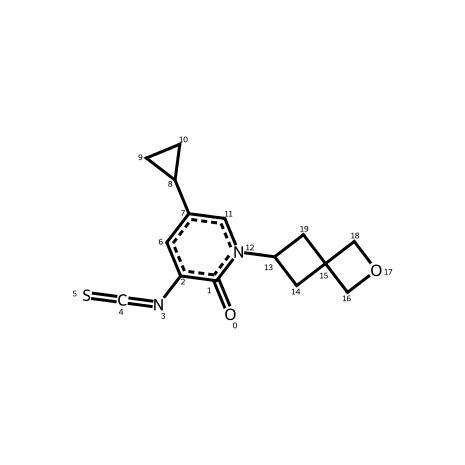 O=c1c(N=C=S)cc(C2CC2)cn1C1CC2(COC2)C1